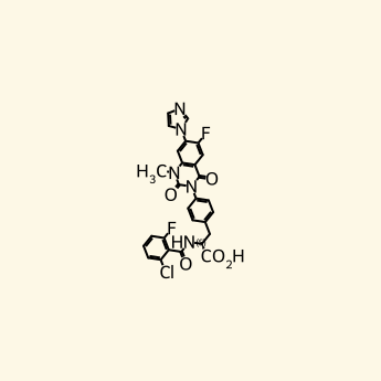 Cn1c(=O)n(-c2ccc(C[C@H](NC(=O)c3c(F)cccc3Cl)C(=O)O)cc2)c(=O)c2cc(F)c(-n3ccnc3)cc21